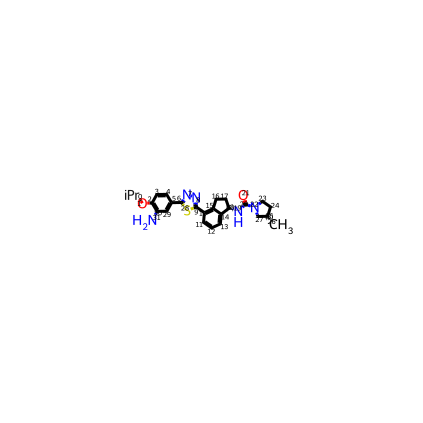 CC(C)Oc1ccc(-c2nnc(-c3cccc4c3CC[C@@H]4NC(=O)N3CC[C@H](C)C3)s2)cc1N